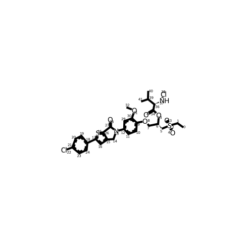 CCS(=O)(=O)C[C@H](COc1ccc(N2Cc3cc(-c4ccc(Cl)cc4)sc3C2=O)cc1OC)OC(=O)[C@@H](NCl)C(C)C